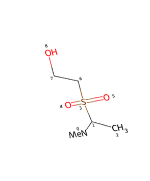 CNC(C)S(=O)(=O)CCO